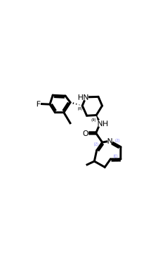 Cc1cc(F)ccc1[C@H]1C[C@H](NC(=O)C2=C/C(C)C/C=C/C=N\2)CCN1